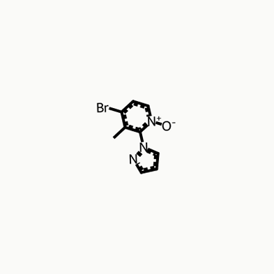 Cc1c(Br)cc[n+]([O-])c1-n1cccn1